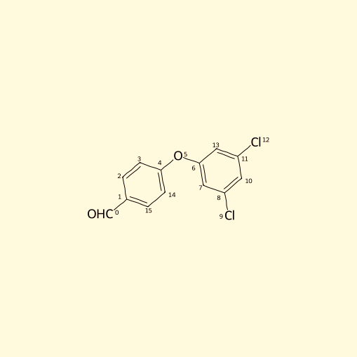 O=Cc1ccc(Oc2cc(Cl)cc(Cl)c2)cc1